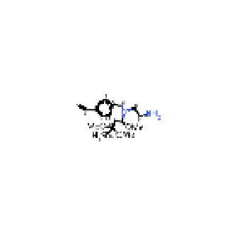 C=Cc1ccc(CN(CCN)C(CC([SiH3])(OC)OC)OC)cc1